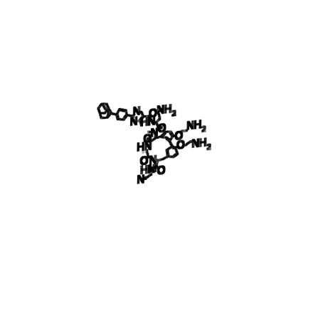 Cc1nc(-c2ccc(C3C4CC5CC(C4)CC3C5)cc2)ncc1C(=O)N[C@@H](CCN)C(=O)N(C)[C@@H]1C(=O)N[C@@H](C)C(=O)N[C@H](C(=O)NCC#N)Cc2ccc(OCCN)c(c2)-c2cc1ccc2OCCN